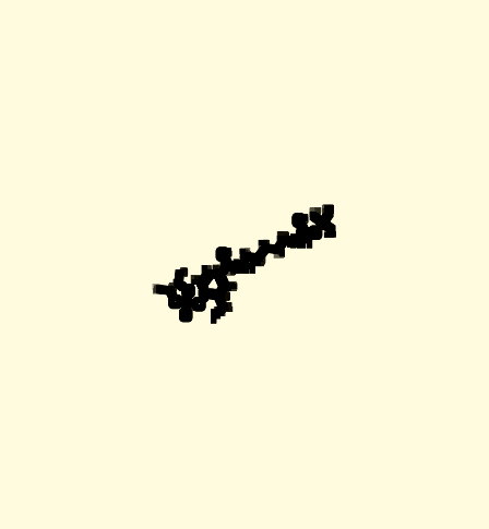 CCOP(=O)(OCC)Oc1ccc(C(=O)NCCCCCNC(=O)OC(C)(C)C)cc1CF